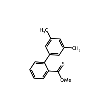 COC(=S)c1ccccc1-c1cc(C)cc(C)c1